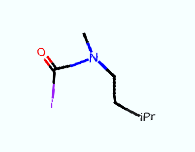 CC(C)CCN(C)C(=O)I